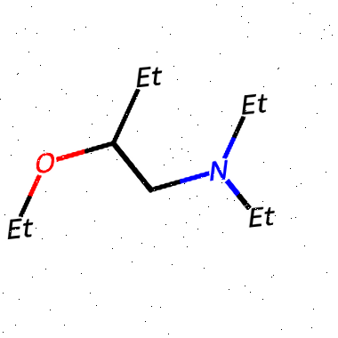 CCOC(CC)CN(CC)CC